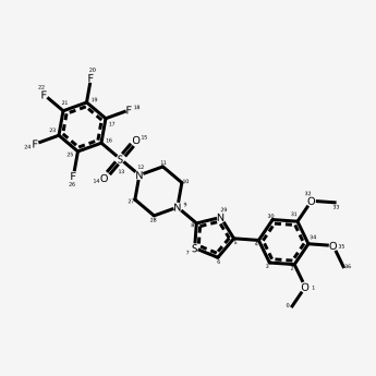 COc1cc(-c2csc(N3CCN(S(=O)(=O)c4c(F)c(F)c(F)c(F)c4F)CC3)n2)cc(OC)c1OC